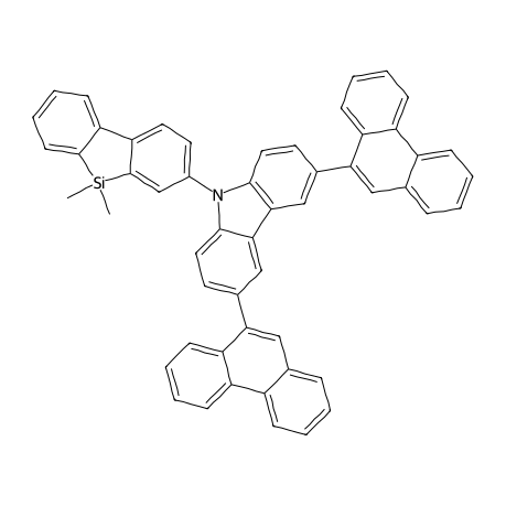 C[Si]1(C)c2ccccc2-c2ccc(-n3c4ccc(-c5cc6ccccc6c6ccccc56)cc4c4cc(-c5cc6ccccc6c6ccccc56)ccc43)cc21